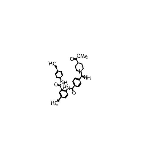 C#Cc1ccc(NC(=O)c2cc(C#C)ccc2NC(=O)c2ccc(C(=N)N3CCC(C(=O)OC)CC3)cc2)cc1